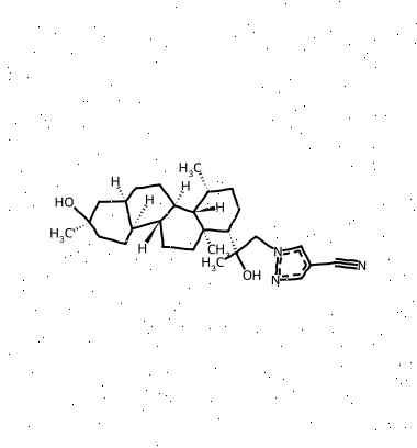 C[C@@H]1CC[C@H](C(C)(O)Cn2cc(C#N)cn2)[C@@]2(C)CC[C@H]3[C@@H](CC[C@@H]4C[C@](C)(O)CC[C@@H]43)[C@H]12